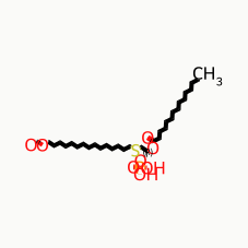 CCCCCCCCCCCCCCC(=O)O[C@H](COP(=O)(O)O)CSCCCCCCCCCCCCCCCOC=O